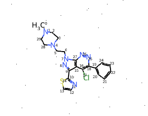 CN1CCN(CCn2nc(-c3nccs3)c3c(Cl)c(-c4ccccc4)nnc32)CC1